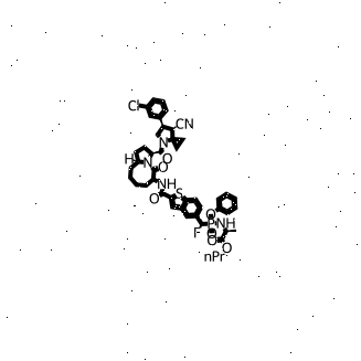 CCCOC(=O)[C@H](C)NP(=O)(Oc1ccccc1)[C@@H](F)c1ccc2sc(C(=O)NC3CCCC[C@H]4CC[C@@H](C(=O)N5C[C@@H](c6cccc(Cl)c6)[C@H](C#N)C56CC6)N4C3=O)cc2c1